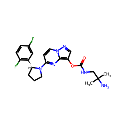 CC(C)(N)CNC(=O)Oc1cnn2ccc(N3CCC[C@@H]3c3cc(F)ccc3F)nc12